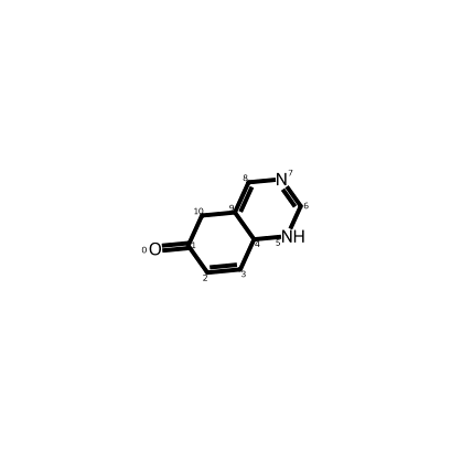 O=C1C=CC2NC=NC=C2C1